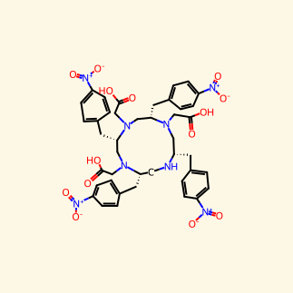 O=C(O)CN1C[C@H](Cc2ccc([N+](=O)[O-])cc2)NC[C@H](Cc2ccc([N+](=O)[O-])cc2)N(CC(=O)O)C[C@H](Cc2ccc([N+](=O)[O-])cc2)N(CC(=O)O)C[C@@H]1Cc1ccc([N+](=O)[O-])cc1